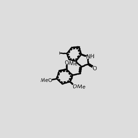 COc1cc(OC)c(C=C2C(=O)Nc3ccc(I)cc32)c(OC)c1